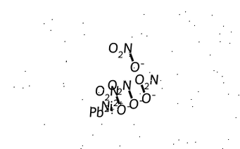 O=[N+]([O-])[O-].O=[N+]([O-])[O-].O=[N+]([O-])[O-].O=[N+]([O-])[O-].[Ni+2].[Pb+2]